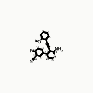 COc1ccccc1C#Cc1c(-c2ccc(F)c(C#N)c2)ccnc1N